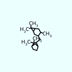 CC1CC2C(CC1CC1C3CCC(C3)C1(C)C)C2(C)C